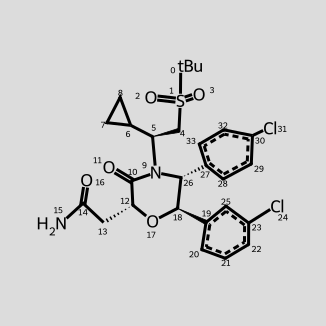 CC(C)(C)S(=O)(=O)C[C@H](C1CC1)N1C(=O)[C@@H](CC(N)=O)O[C@H](c2cccc(Cl)c2)[C@H]1c1ccc(Cl)cc1